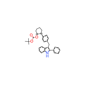 CC(C)(C)OC(=O)O[C@@H]1CCCC[C@H]1c1ccc(Cc2c(-c3ccccc3)[nH]c3ccccc23)cc1